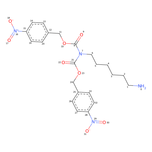 NCCCCCCN(C(=O)OCc1ccc([N+](=O)[O-])cc1)C(=O)OCc1ccc([N+](=O)[O-])cc1